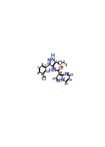 Cc1[nH]nc(-c2cccc(Cl)c2)c1NC(=O)c1cnn2cccnc12